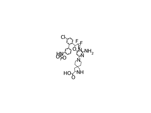 CS(=O)(=O)Nc1cccc(-c2cc(Cl)ccc2C(Oc2cc(N3CCC4(CC3)CNC(C(=O)O)C4)nc(N)n2)C(F)(F)F)c1